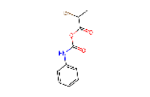 CC(Br)C(=O)OC(=O)Nc1ccccc1